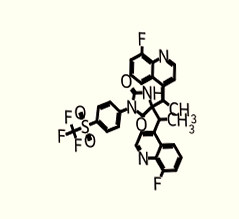 CC(c1ccnc2c(F)cccc12)C1(C(C)c2ccnc3c(F)cccc23)NC(=O)N(c2ccc(S(=O)(=O)C(F)(F)F)cc2)C1=O